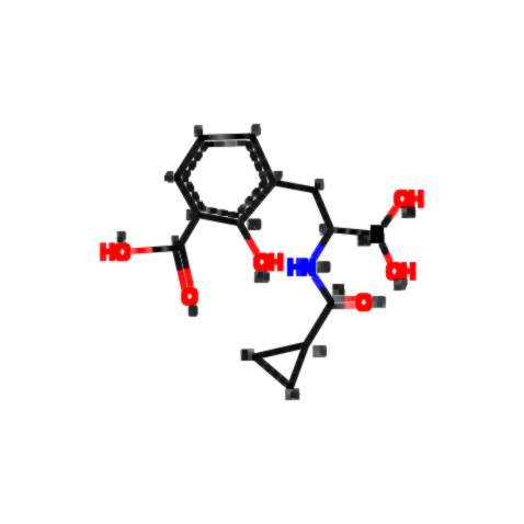 O=C(O)c1cccc(CC(NC(=O)C2CC2)B(O)O)c1O